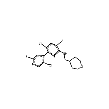 Fc1cc(-c2nc(NCC3CCOCC3)c(F)cc2Cl)c(Cl)cn1